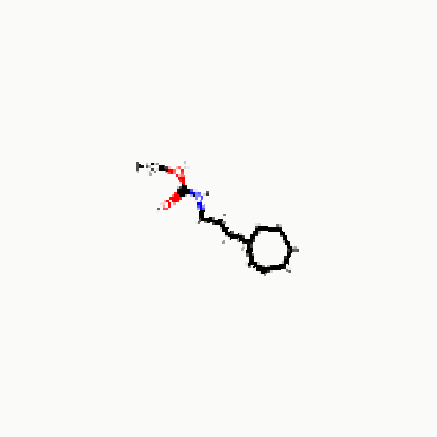 COC(=O)[N]CCCC1CCCCCC1